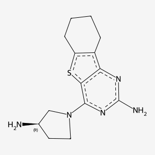 Nc1nc(N2CC[C@@H](N)C2)c2sc3c(c2n1)CCCC3